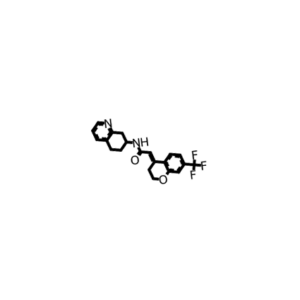 O=C(C=C1CCOc2cc(C(F)(F)F)ccc21)NC1CCc2cccnc2C1